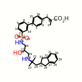 C[C@H](Cc1ccc(-c2cccc(S(=O)(=O)NCC(O)CNC(C)(C)CC3Cc4ccccc4C3)c2)cc1)C(=O)O